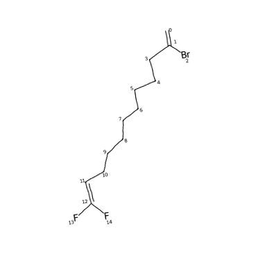 C=C(Br)CCCCCCCCC=C(F)F